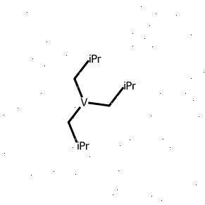 CC(C)[CH2][V]([CH2]C(C)C)[CH2]C(C)C